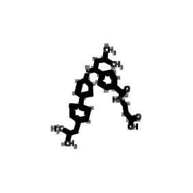 CC(C)Cc1ccc(C2=CCC(SC(CC(C)C)c3ccc(C(=O)NCCC(=O)O)cc3)C=C2)cc1